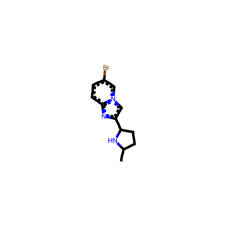 CC1CCC(c2cn3cc(Br)ccc3n2)N1